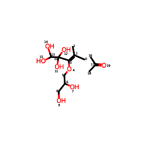 CC(C)=C(OCC(O)CO)C(O)(O)C(O)O.CC(C)=O